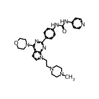 CN1CCN(CCn2ccc3c(N4CCOCC4)nc(-c4ccc(NC(=O)Nc5ccncc5)cc4)nc32)CC1